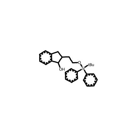 CC(C)(C)[Si](OCCC1Cc2ccccc2C1O)(c1ccccc1)c1ccccc1